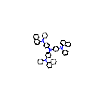 C1=Cc2cccc(N(c3ccccc3)c3ccc(N(c4ccc(N(c5ccccc5)c5cccc6ccccc56)cc4)c4ccc(N(c5ccccc5)c5cccc6ccccc56)cc4)cc3)c2CC1